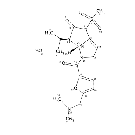 CC(C)[C@H]1C(=O)N(S(C)(=O)=O)C2=CCN(C(=O)c3ccc(CN(C)C)o3)[C@@H]21.Cl